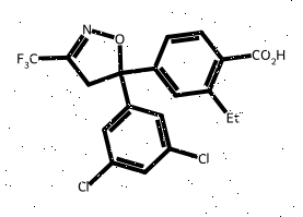 CCc1cc(C2(c3cc(Cl)cc(Cl)c3)CC(C(F)(F)F)=NO2)ccc1C(=O)O